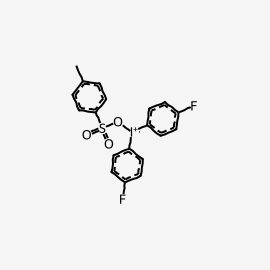 Cc1ccc(S(=O)(=O)O[I+](c2ccc(F)cc2)c2ccc(F)cc2)cc1